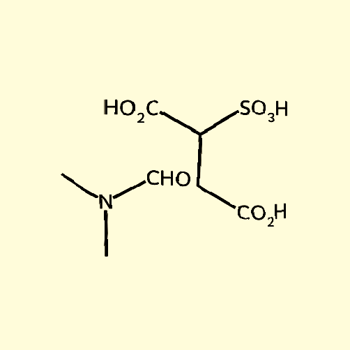 CN(C)C=O.O=C(O)CC(C(=O)O)S(=O)(=O)O